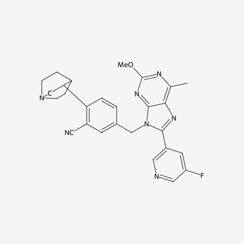 COc1nc(C)c2nc(-c3cncc(F)c3)n(Cc3ccc(C4CN5CCC4CC5)c(C#N)c3)c2n1